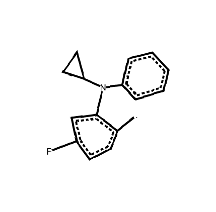 [CH2]c1ccc(F)cc1N(c1ccccc1)C1CC1